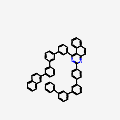 c1ccc(-c2cccc(-c3cccc(-c4ccc(-c5nc(-c6cccc(-c7cccc(-c8cccc(-c9ccc%10ccccc%10c9)c8)c7)c6)c6c(ccc7ccccc76)n5)cc4)c3)c2)cc1